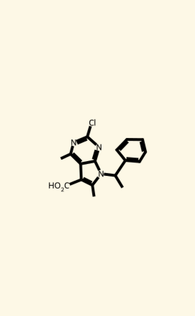 Cc1nc(Cl)nc2c1c(C(=O)O)c(C)n2C(C)c1ccccc1